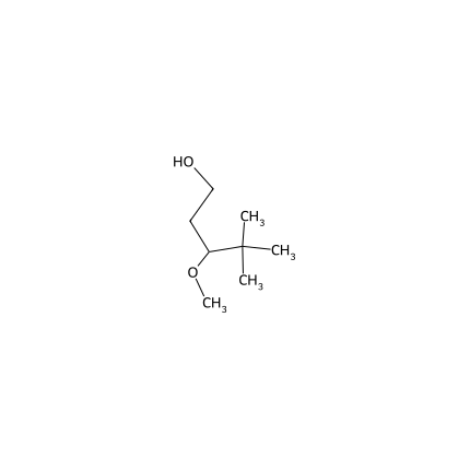 COC(CCO)C(C)(C)C